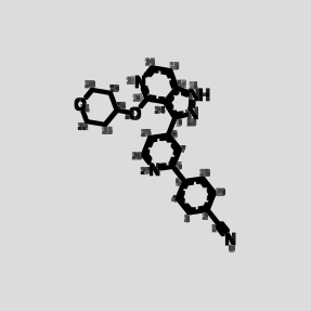 N#Cc1ccc(-c2cc(-c3n[nH]c4ccnc(OC5CCOCC5)c34)ccn2)cc1